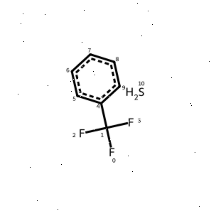 FC(F)(F)c1ccccc1.S